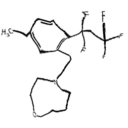 Cc1ccc(C(F)(F)C(F)(F)F)c(CN2CCOCC2)c1